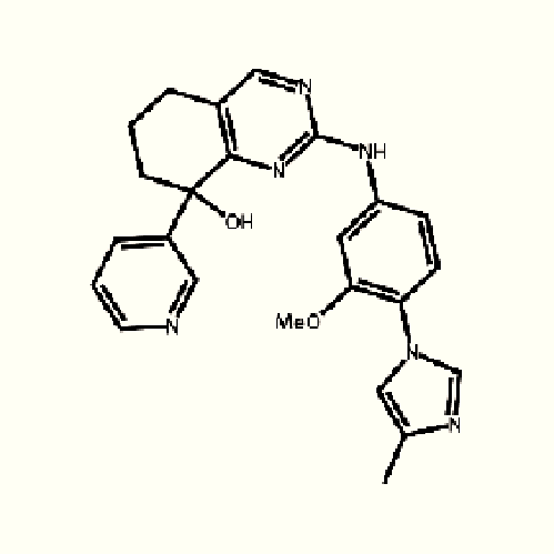 COc1cc(Nc2ncc3c(n2)C(O)(c2cccnc2)CCC3)ccc1-n1cnc(C)c1